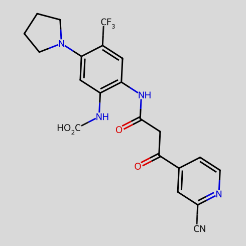 N#Cc1cc(C(=O)CC(=O)Nc2cc(C(F)(F)F)c(N3CCCC3)cc2NC(=O)O)ccn1